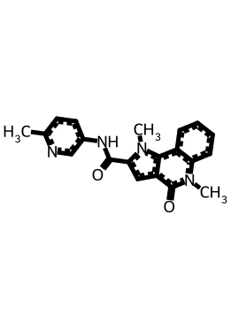 Cc1ccc(NC(=O)c2cc3c(=O)n(C)c4ccccc4c3n2C)cn1